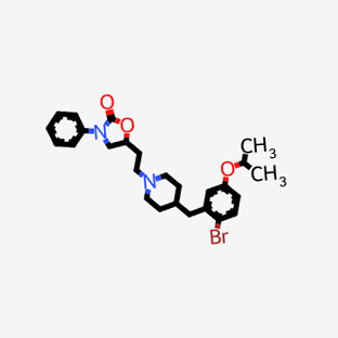 CC(C)Oc1ccc(Br)c(CC2CCN(CCC3CN(c4ccccc4)C(=O)O3)CC2)c1